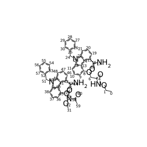 CCONC(=O)COc1cccc2c1c1c(C(N)=O)cccc1n2Cc1ccccc1.CON(Oc1cccc2c1c1c(C(N)=O)cccc1n2Cc1ccccc1)C(C)=O